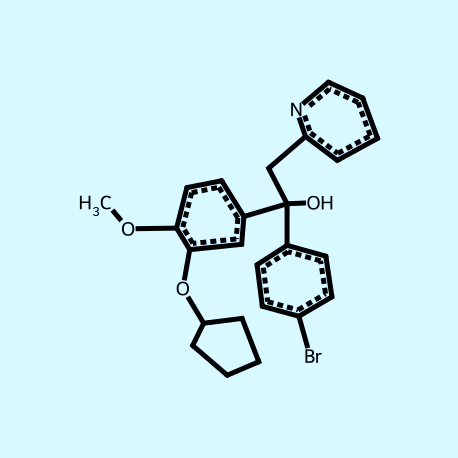 COc1ccc(C(O)(Cc2ccccn2)c2ccc(Br)cc2)cc1OC1CCCC1